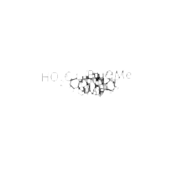 COc1ccc(C(=O)O)cc1N(C(=O)n1nnn(-c2c(F)cccc2OC)c1=O)C(C)C